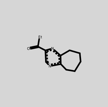 CCC(=O)c1cnc2c(n1)CCCCC2